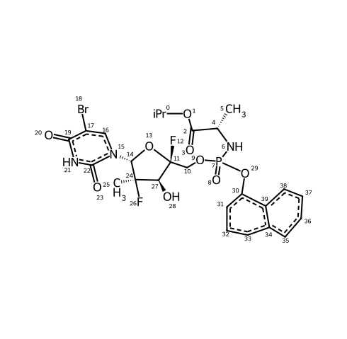 CC(C)OC(=O)[C@H](C)NP(=O)(OC[C@@]1(F)O[C@@H](n2cc(Br)c(=O)[nH]c2=O)[C@](C)(F)[C@@H]1O)Oc1cccc2ccccc12